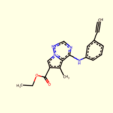 C#Cc1cccc(Nc2ncnn3cc(C(=O)OCC)c(C)c23)c1